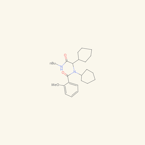 CCCCNC(=O)C(C1CCCCC1)N(C(=O)c1ccccc1OC)C1CCCCC1